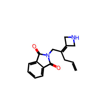 C=CCC(CN1C(=O)c2ccccc2C1=O)=C1CNC1